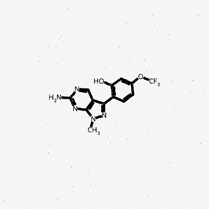 Cn1nc(-c2ccc(OC(F)(F)F)cc2O)c2cnc(N)nc21